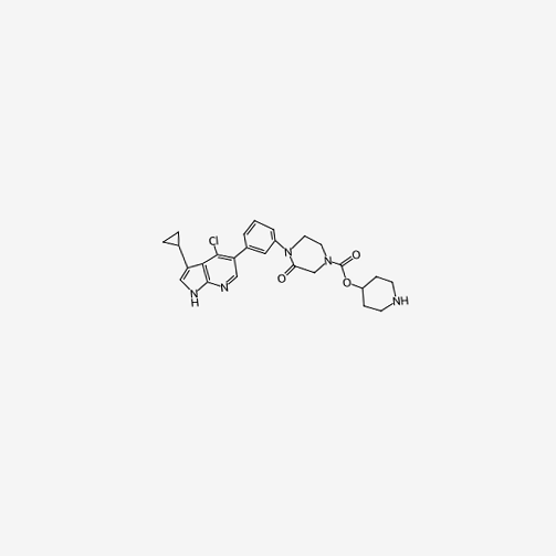 O=C(OC1CCNCC1)N1CCN(c2cccc(-c3cnc4[nH]cc(C5CC5)c4c3Cl)c2)C(=O)C1